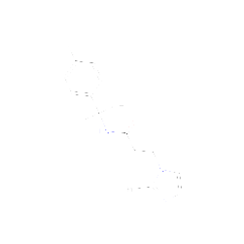 CC(C)c1nccn1CCC(=O)NC(C)(C)c1ccc(Cl)cc1